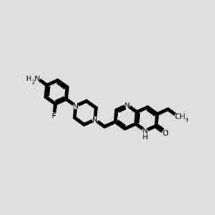 CCc1cc2ncc(CN3CCN(c4ccc(N)cc4F)CC3)cc2[nH]c1=O